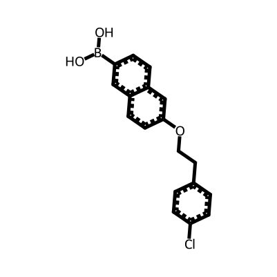 OB(O)c1ccc2cc(OCCc3ccc(Cl)cc3)ccc2c1